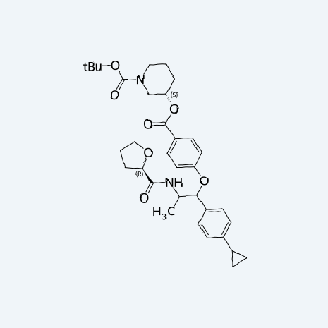 CC(NC(=O)[C@H]1CCCO1)C(Oc1ccc(C(=O)O[C@H]2CCCN(C(=O)OC(C)(C)C)C2)cc1)c1ccc(C2CC2)cc1